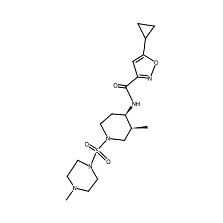 C[C@H]1CN(S(=O)(=O)N2CCN(C)CC2)CC[C@H]1NC(=O)c1cc(C2CC2)on1